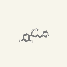 CCCSC(CCCn1ccnc1)c1ccc(Cl)cc1Cl